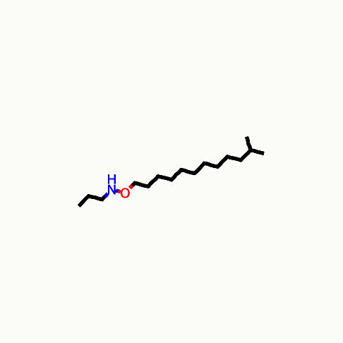 CCCNOCCCCCCCCCCC(C)C